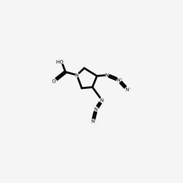 [N-]=[N+]=NC1CN(C(=O)O)CC1N=[N+]=[N-]